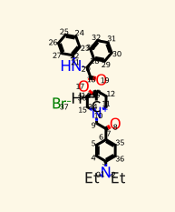 CCN(CC)c1ccc(C(=O)C[N+]23CCC(CC2)[C@@H](OC(=O)[C@H](Nc2ccccc2)c2ccccc2)C3)cc1.[Br-]